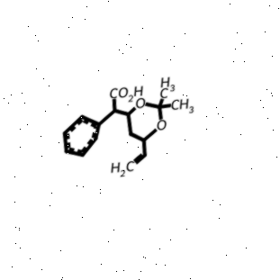 C=CC1CC(C(C(=O)O)c2ccccc2)OC(C)(C)O1